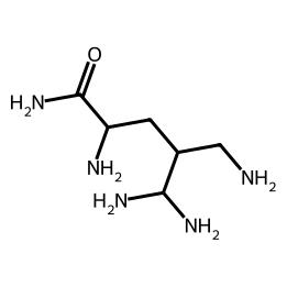 NCC(CC(N)C(N)=O)C(N)N